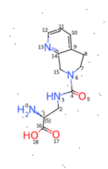 N[C@@H](CNC(=O)N1CCc2cccnc2C1)C(=O)O